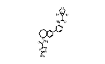 CC(C)(C)c1noc(C(=O)N[C@@H]2CCCCc3cc(-c4ccnc(NC(=O)C5[C@H]6COC[C@@H]56)c4)ccc32)n1